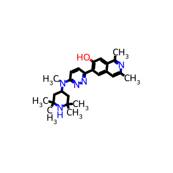 Cc1cc2cc(-c3ccc(N(C)C4CC(C)(C)NC(C)(C)C4)nn3)c(O)cc2c(C)n1